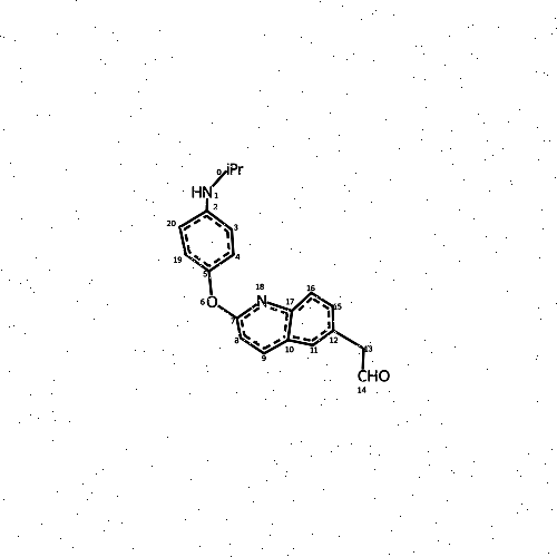 CC(C)Nc1ccc(Oc2ccc3cc(CC=O)ccc3n2)cc1